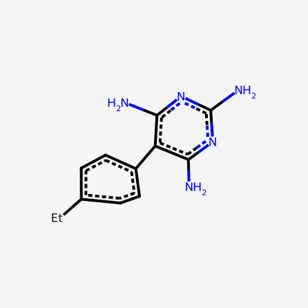 CCc1ccc(-c2c(N)nc(N)nc2N)cc1